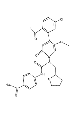 COc1cn(C(CC2CCCO2)C(=O)Nc2ccc(C(=O)O)cc2)c(=O)cc1-c1cc(Cl)ccc1C(C)=O